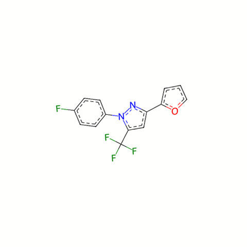 Fc1ccc(-n2nc(-c3ccco3)cc2C(F)(F)F)cc1